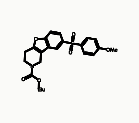 COc1ccc(S(=O)(=O)c2ccc3oc4c(c3c2)CN(C(=O)OC(C)(C)C)CC4)cc1